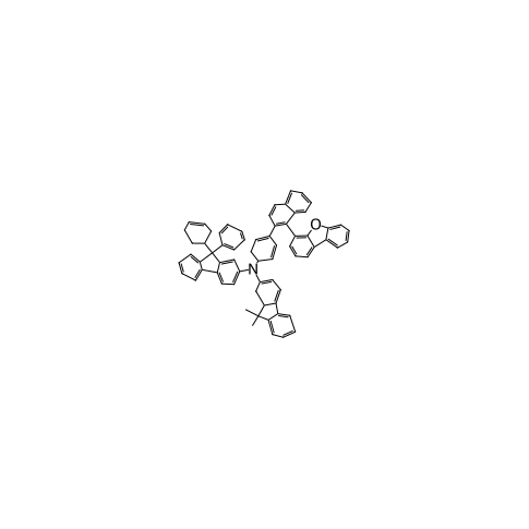 CC1(C)c2ccccc2C2=CC=C(N(c3ccc4c(c3)C(c3ccccc3)(C3CC=CCC3)c3ccccc3-4)C3C=CC(c4ccc5ccccc5c4-c4cccc5c4oc4ccccc45)=CC3)CC21